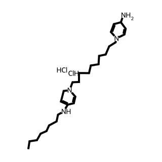 CCCCCCCCNC1=CCN(CCCCCCCCCCN2C=CC(N)C=C2)C=C1.Cl.Cl